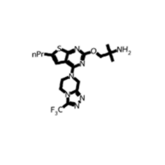 CCCc1cc2c(N3CCn4c(nnc4C(F)(F)F)C3)nc(OCC(C)(C)N)nc2s1